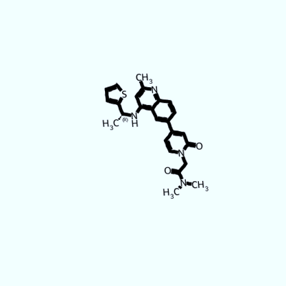 Cc1cc(N[C@H](C)c2cc[c]s2)c2cc(-c3ccn(CC(=O)N(C)C)c(=O)c3)ccc2n1